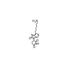 Cn1c(=O)n(C2CCC(=O)NC2=O)c2cccc(CCCCCCN)c21